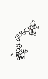 O=C(CC12CC3CC(C1)CC(CC(=O)Oc1ccc4c5c1O[C@H]1C(=O)CC[C@@]6(O)[C@@H](C4)N(CC4CC4)CC[C@]516)(C3)C2)Oc1ccc2c3c1O[C@H]1C(=O)CC[C@@]4(O)[C@@H](C2)N(CC2CC2)CC[C@]314